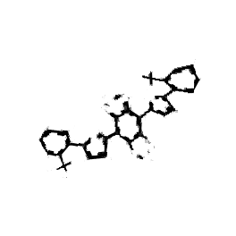 FC(F)(F)c1ccccc1-c1ccc(-c2c3c(c(-c4ccc(-c5ccccc5C(F)(F)F)s4)c4nsnc24)NSN3)s1